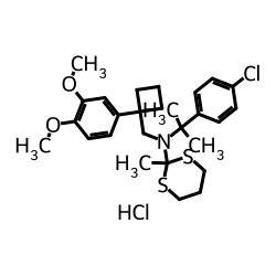 COc1ccc(C2(CN(C3(C)SCCCS3)C(C)(C)c3ccc(Cl)cc3)CCC2)cc1OC.Cl